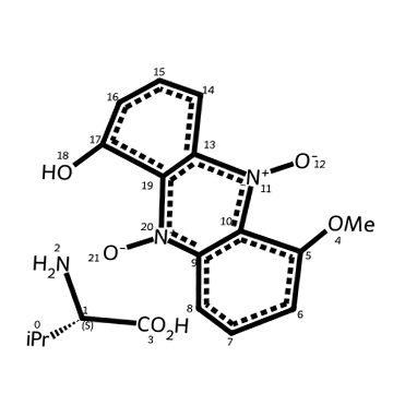 CC(C)[C@H](N)C(=O)O.COc1cccc2c1[n+]([O-])c1cccc(O)c1[n+]2[O-]